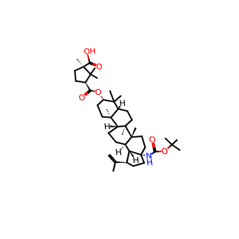 C=C(C)[C@@H]1CC[C@]2(NC(=O)OC(C)(C)C)CC[C@]3(C)[C@H](CC[C@@H]4[C@@]5(C)CC[C@H](OC(=O)[C@H]6CC[C@@](C)(C(=O)O)C6(C)C)C(C)(C)[C@@H]5CC[C@]43C)[C@@H]12